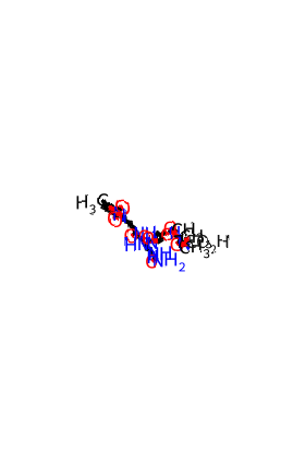 CC1=CC2CC1C1C(=O)N(CCCCCC(=O)NCC(=O)NC(CCCNC(N)=O)C(=O)Nc3ccc(COC(=O)N(C)CCC(=O)N(C)[C@@H](C)C(=O)O)cc3)C(=O)C21